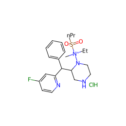 CCCS(=O)(=O)[N+](C)(CC)N1CCNCC1C(c1ccccc1)c1cc(F)ccn1.Cl